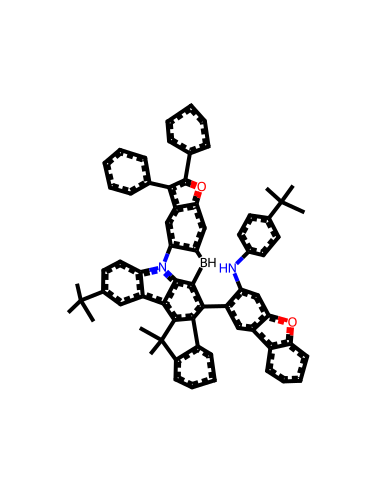 CC(C)(C)c1ccc(Nc2cc3oc4ccccc4c3cc2-c2c3c(c4c5cc(C(C)(C)C)ccc5n5c4c2Bc2cc4oc(-c6ccccc6)c(-c6ccccc6)c4cc2-5)C(C)(C)c2ccccc2-3)cc1